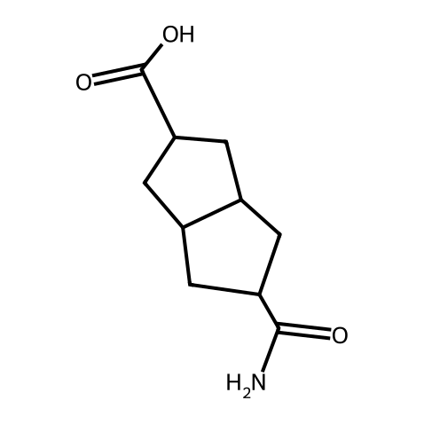 NC(=O)C1CC2CC(C(=O)O)CC2C1